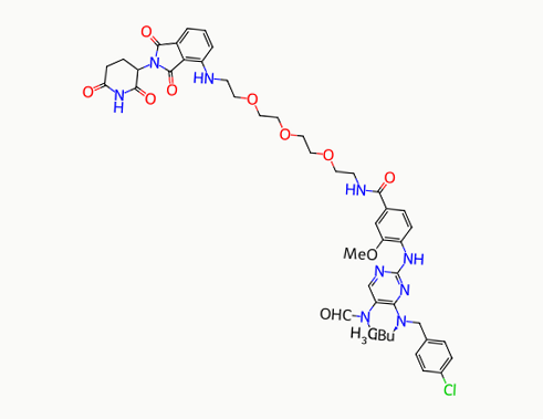 CC[C@H](C)N(Cc1ccc(Cl)cc1)c1nc(Nc2ccc(C(=O)NCCOCCOCCOCCNc3cccc4c3C(=O)N(C3CCC(=O)NC3=O)C4=O)cc2OC)ncc1N(C)C=O